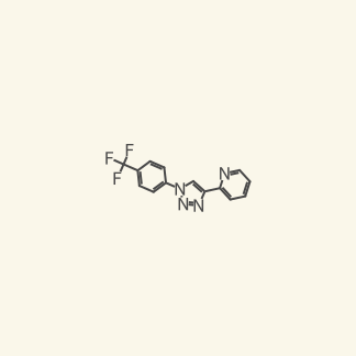 FC(F)(F)c1ccc(-n2cc(-c3ccccn3)nn2)cc1